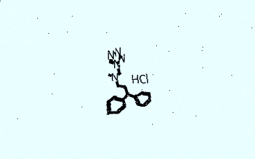 CN(CCC(c1ccccc1)c1ccccc1)Cn1cnnn1.Cl